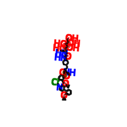 O=C(NCC(O)C(O)C(O)C(O)CO)NC1CCC(CCNS(=O)(=O)c2ccc(Cl)c(COC3(c4cnccc4-c4ccccc4OC4CC4)CC3)c2)CC1